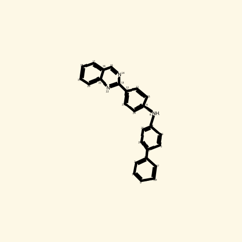 c1ccc(-c2ccc(Nc3ccc(-c4ncc5ccccc5n4)cc3)cc2)cc1